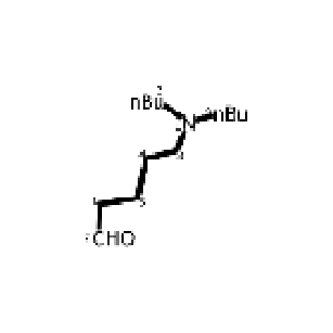 CCCCN(CCCC)CCCCC=O